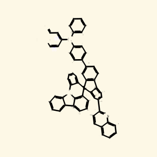 C=C/C=C(\C=C/C)N(c1ccccc1)c1ccc(-c2ccc3c(c2)C2(c4ccccc4B4c5ccccc5-c5cccc2c54)c2cc(-c4ccc5ccccc5n4)ccc2-3)cc1